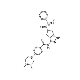 CO[C@@H](C(=O)N1Cc2[nH]nc(NC(=O)c3ccc(N4CCN(C)C(C)C4)cc3)c2C1)c1ccccc1